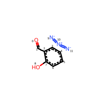 O=Cc1ccccc1O.[N-]=[N+]=[N-]